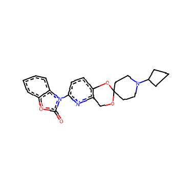 O=c1oc2ccccc2n1-c1ccc2c(n1)COC1(CCN(C3CCC3)CC1)O2